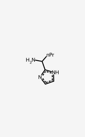 CCCC(N)c1ncc[nH]1